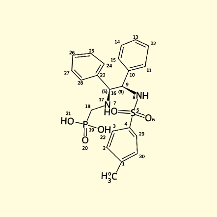 Cc1ccc(S(=O)(=O)N[C@H](c2ccccc2)[C@@H](NCP(=O)(O)O)c2ccccc2)cc1